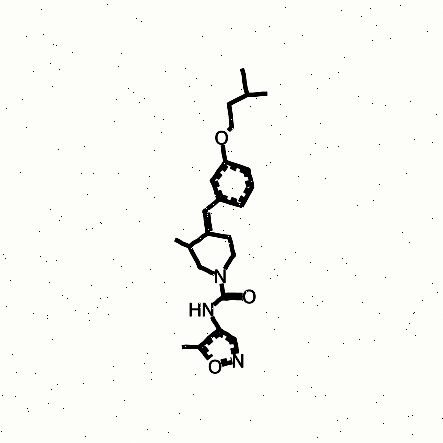 Cc1oncc1NC(=O)N1CCC(=Cc2cccc(OCCC(C)C)c2)C(C)C1